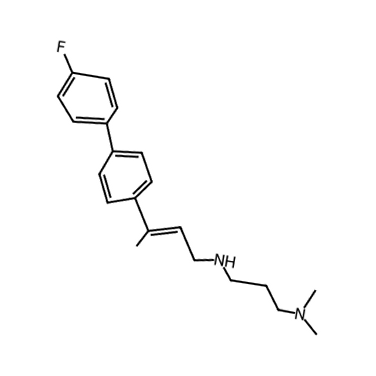 CC(=CCNCCCN(C)C)c1ccc(-c2ccc(F)cc2)cc1